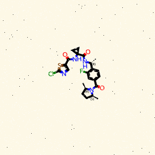 C[C@@H]1CC[C@H](C)N1C(=O)c1ccc([C@@H](C)NC(=O)C2(NC(=O)c3cnc(Cl)s3)CC2)c(F)c1